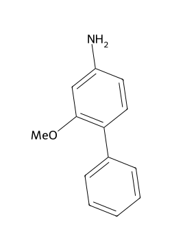 COc1cc(N)ccc1-c1ccccc1